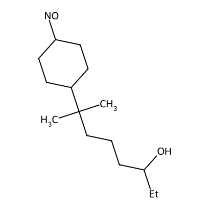 CCC(O)CCCC(C)(C)C1CCC(N=O)CC1